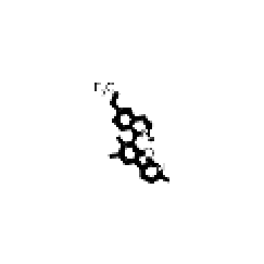 Cc1ccc2c(n1)oc1c(-c3c4ccc(CCC(F)(F)F)cc4cc[n+]3C)c(C)c(C)cc12